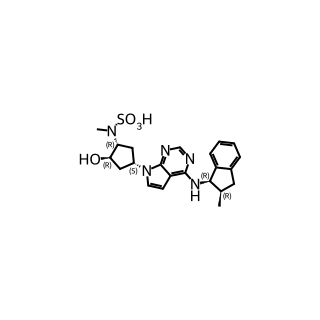 C[C@@H]1Cc2ccccc2[C@@H]1Nc1ncnc2c1ccn2[C@@H]1C[C@@H](O)[C@H](N(C)S(=O)(=O)O)C1